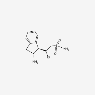 CCC(CS(N)(=O)=O)[C@@H]1c2ccccc2C[C@H]1N